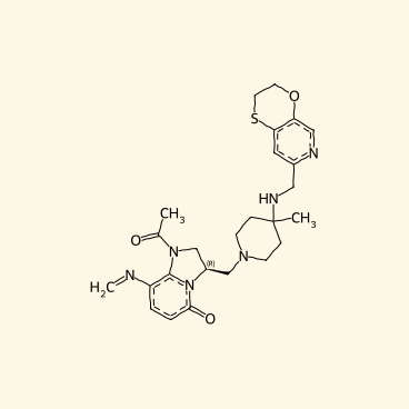 C=Nc1ccc(=O)n2c1N(C(C)=O)C[C@H]2CN1CCC(C)(NCc2cc3c(cn2)OCCS3)CC1